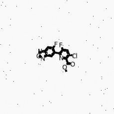 COC(=O)c1nc(-c2cc3nonc3cc2F)c(F)cc1Cl